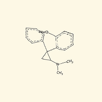 COc1ccccc1C1(c2ccccc2)CC1N(C)C